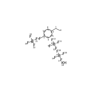 CCc1ccc(F)cc1.F[B-](F)(F)F.F[B-](F)(F)F.F[B-](F)(F)F.[KH]